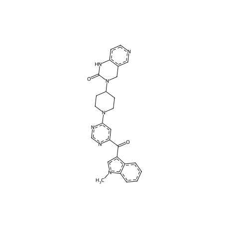 Cn1cc(C(=O)c2cc(N3CCC(N4Cc5cnccc5NC4=O)CC3)ncn2)c2ccccc21